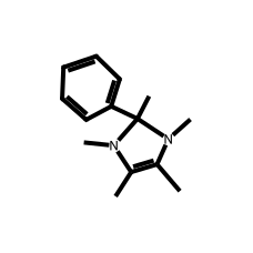 CC1=C(C)N(C)C(C)(c2ccccc2)N1C